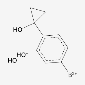 [B+2]c1ccc(C2(O)CC2)cc1.[OH-].[OH-]